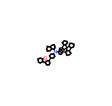 C1=CC2=C(CC1)C1(c3ccccc32)c2ccccc2-c2cccc(-c3ccc(N(c4ccc(-c5cccc6c5oc5ccccc56)cc4)c4cccc5ccccc45)cc3)c21